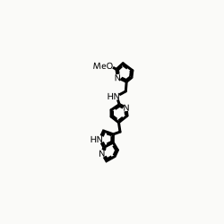 COc1cccc(CNc2ccc(Cc3c[nH]c4ncccc34)cn2)n1